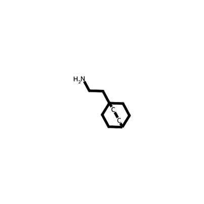 NCCC12CCC(CC1)CC2